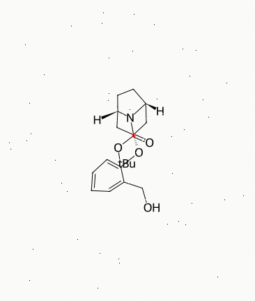 CC(C)(C)OC(=O)N1[C@@H]2CC[C@H]1C[C@@H](Oc1ccccc1CO)C2